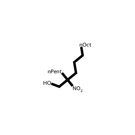 CCCCCCCCCCCC(CO)(CCCCC)[N+](=O)[O-]